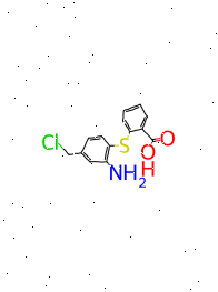 Nc1cc(CCl)ccc1Sc1ccccc1C(=O)O